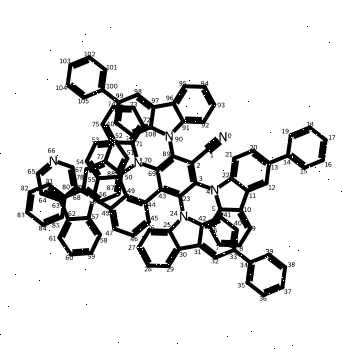 N#Cc1c(-n2c3ccccc3c3cc(-c4ccccc4)ccc32)c(-n2c3ccccc3c3cc(-c4ccccc4)ccc32)c(-c2cccc3c2-c2ccccc2[Si]32c3ccccc3-c3ccncc32)c(-n2c3ccccc3c3cc(-c4ccccc4)ccc32)c1-n1c2ccccc2c2cc(-c3ccccc3)ccc21